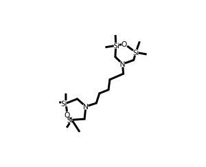 C[Si]1(C)CN(CCCCCN2C[Si](C)(C)O[Si](C)(C)C2)C[Si](C)(C)O1